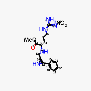 COC(=O)[C@H](CCCNC(N)=N[N+](=O)[O-])NCC1NC1c1ccccc1